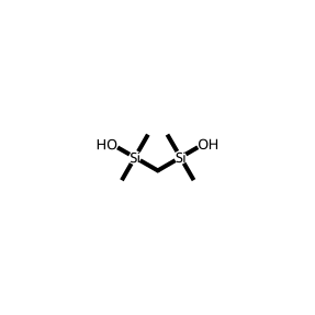 C[Si](C)(O)C[Si](C)(C)O